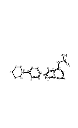 O=C(O)Oc1cccc2[nH]c(-c3ccc(N4CCCCC4)nc3)nc12